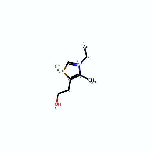 CC(=O)C[n+]1csc(CCO)c1C.[Cl-]